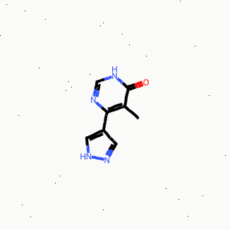 Cc1c(-c2cn[nH]c2)nc[nH]c1=O